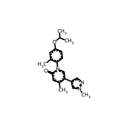 Cc1cc(=O)n(-c2ccc(OC(C)C)cc2C)cc1-c1cnn(C)c1